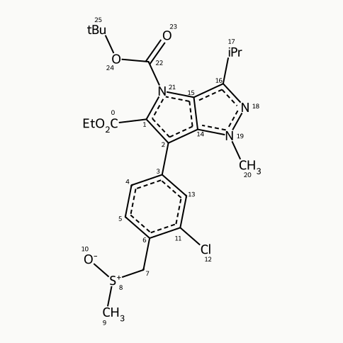 CCOC(=O)c1c(-c2ccc(C[S+](C)[O-])c(Cl)c2)c2c(c(C(C)C)nn2C)n1C(=O)OC(C)(C)C